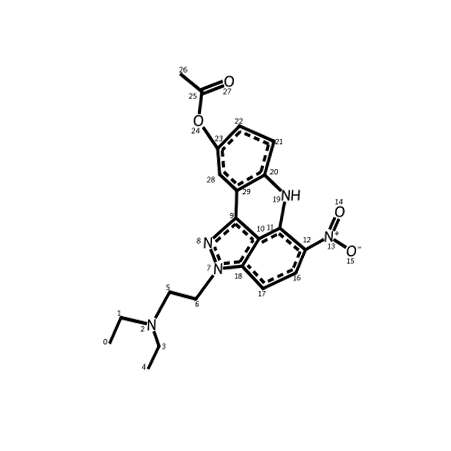 CCN(CC)CCn1nc2c3c(c([N+](=O)[O-])ccc31)Nc1ccc(OC(C)=O)cc1-2